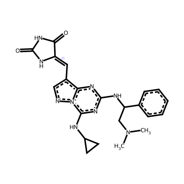 CN(C)CC(Nc1nc(NC2CC2)n2ncc(/C=C3\NC(=O)NC3=O)c2n1)c1ccccc1